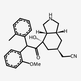 COc1ccccc1C(C(=O)[C@]1(O)C[C@H](CC#N)C[C@H]2CNC[C@H]21)c1ccccc1C